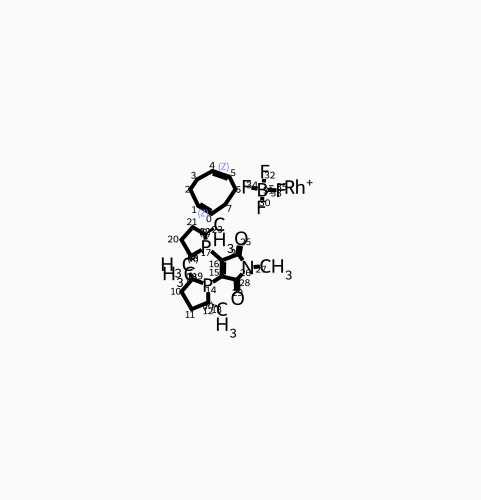 C1=C\CC/C=C\CC/1.C[C@@H]1CC[C@@H](C)P1C1=C(P2[C@H](C)CC[C@H]2C)C(=O)N(C)C1=O.F[B-](F)(F)F.[Rh+]